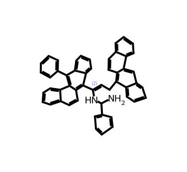 NC(N/C(=C\Cc1c2ccccc2cc2c1ccc1ccccc12)c1c2ccccc2c(-c2ccccc2)c2c1ccc1ccccc12)c1ccccc1